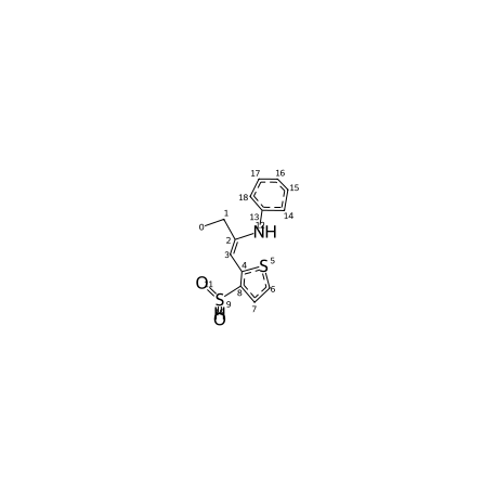 CC/C(=C/c1sccc1[SH](=O)=O)Nc1ccccc1